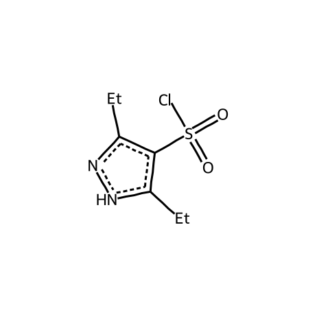 CCc1n[nH]c(CC)c1S(=O)(=O)Cl